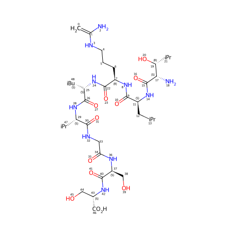 C=C(N)NCCC[C@@H](NC(=O)[C@H](CC(C)C)NC(=O)[C@@H](N)[C@H](O)C(C)C)C(=O)N[C@H](C(=O)N[C@H](C(=O)NCC(=O)N[C@@H](CO)C(=O)N[C@@H](CO)C(=O)O)C(C)C)[C@@H](C)CC